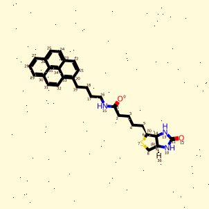 O=C(CCCC[C@@H]1SC[C@@H]2NC(=O)NC21)NCCCCc1ccc2ccc3cccc4ccc1c2c34